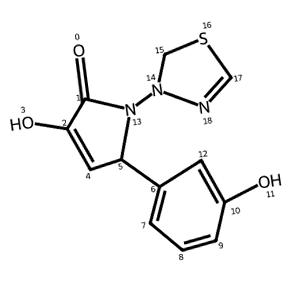 O=C1C(O)=CC(c2cccc(O)c2)N1N1CSC=N1